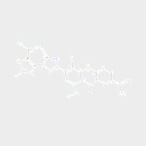 COc1cc(-c2nn(-c3nc(C)[nH]c3C(=O)O)c(=O)[nH]2)c(F)c(Nc2ccc(C(=N)N)cc2)c1OC